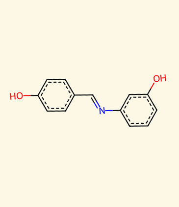 Oc1ccc(C=Nc2cccc(O)c2)cc1